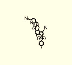 COc1cc(C)c2c(c(C#N)cn2S(=O)(=O)c2ccc(C)cc2)c1Cn1cc2ccc(C#N)nc2n1